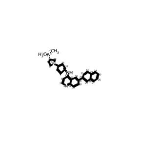 CN(C)[C@H]1CCN(c2ccc(Nc3ccnc4ccc(-c5ccc6ccccc6c5)cc34)cc2)C1